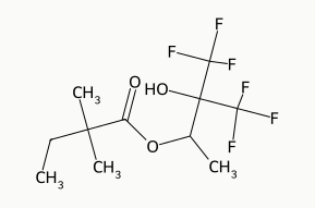 CCC(C)(C)C(=O)OC(C)C(O)(C(F)(F)F)C(F)(F)F